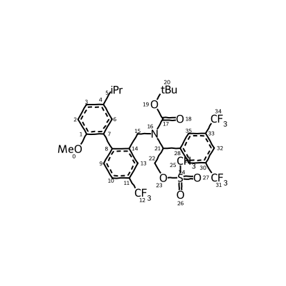 COc1ccc(C(C)C)cc1-c1ccc(C(F)(F)F)cc1CN(C(=O)OC(C)(C)C)C(COS(C)(=O)=O)c1cc(C(F)(F)F)cc(C(F)(F)F)c1